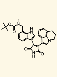 CN(Cc1cccc2c(C3=C(c4cn5c6c(cccc46)CCC5)C(=O)NC3=O)c[nH]c12)C(=O)OC(C)(C)C